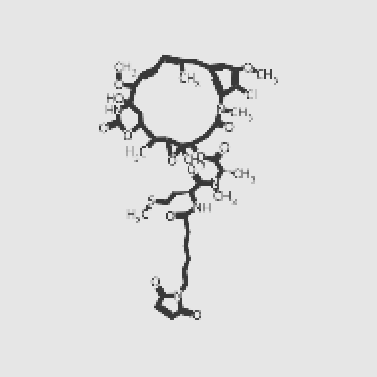 COc1cc2cc(c1Cl)N(C)C(=O)CC(OC(=O)[C@H](C)N(C)C(=O)[C@H](CCSC)NC(=O)CCCCCN1C(=O)C=CC1=O)C1(C)OC1C(C)C1CC(O)(NC(=O)O1)C(OC)/C=C/C=C(\C)C2